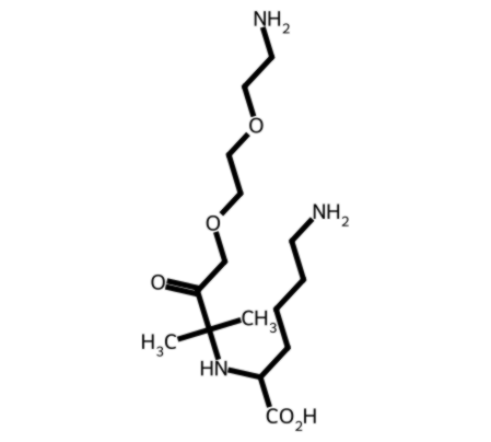 CC(C)(NC(CCCCN)C(=O)O)C(=O)COCCOCCN